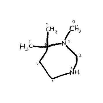 CN1CNCCC1(C)C